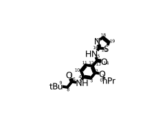 CCCOc1cc(NC(=O)CC(C)(C)C)ccc1C(=O)Nc1nccs1